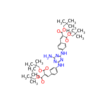 CC(C)(C)COC(=O)C(=Cc1ccc(Nc2nc(N)nc(Nc3ccc(C=C(C(=O)OCC(C)(C)C)C(=O)OCC(C)(C)C)cc3)n2)cc1)C(=O)OCC(C)(C)C